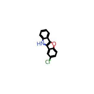 Clc1ccc2oc3c4ccccc4[nH]c3c2c1